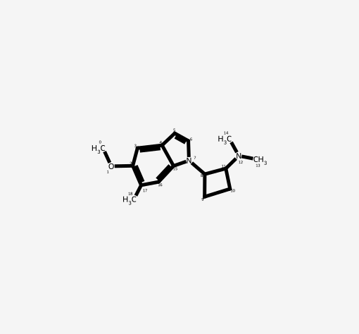 COc1cc2ccn(C3CCC3N(C)C)c2cc1C